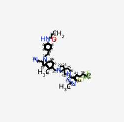 C=CC(=O)Nc1ccc(CCn2c(C#N)cc3c(C)c(CN4CCC5(CCN(c6nc(C)nc7sc(CC(F)(F)F)cc67)C5)C4)ccc32)cc1